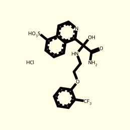 Cl.NC(=O)C(O)(NCCOc1ccccc1C(F)(F)F)c1nccc2c(S(=O)(=O)O)cccc12